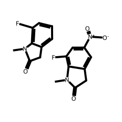 CN1C(=O)Cc2cc([N+](=O)[O-])cc(F)c21.CN1C(=O)Cc2cccc(F)c21